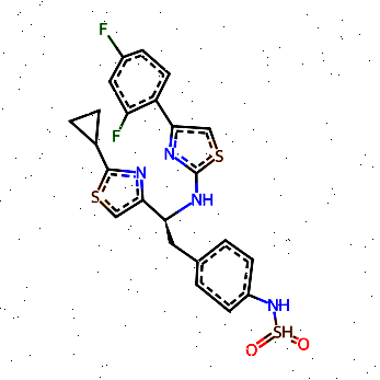 O=[SH](=O)Nc1ccc(C[C@H](Nc2nc(-c3ccc(F)cc3F)cs2)c2csc(C3CC3)n2)cc1